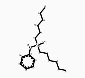 CCCCCC[Si](Cl)(CCCCCC)Oc1ccccc1